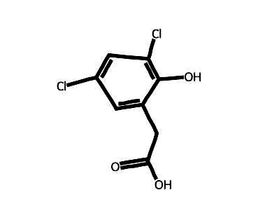 O=C(O)Cc1cc(Cl)cc(Cl)c1O